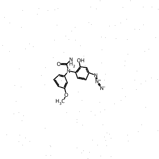 COc1cccc(N(C(N)=O)c2ccc(N=[N+]=[N-])cc2O)c1